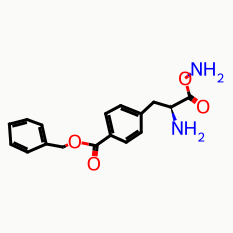 NOC(=O)[C@@H](N)Cc1ccc(C(=O)OCc2ccccc2)cc1